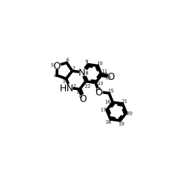 O=C1NC2COCC2n2ccc(=O)c(OCc3ccccc3)c21